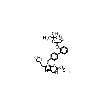 CCCCc1nc2cnc(OC)nc2n1Cc1ccc(-c2ccccc2OC(=O)OC(C)(C)C)cc1